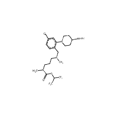 CC(=O)NC1CCN(c2cc(Cl)ccc2CN(C)CCCN(C)C(=O)OC(C(F)(F)F)C(F)(F)F)CC1